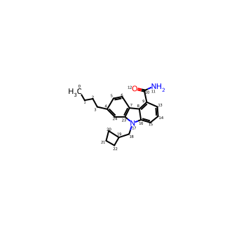 CCCCc1c[c]c2c3c(C(N)=O)cccc3n(CC3CCC3)c2c1